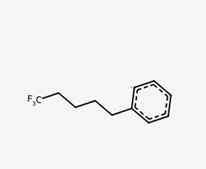 FC(F)(F)CCCCc1[c]cccc1